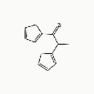 CC([C](=[Zr])C1=CC=CC1)C1=CC=CC1